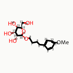 COc1ccc(CCCCO[C@@H]2O[C@H](CO)[C@H](O)[C@H](O)[C@H]2O)cc1